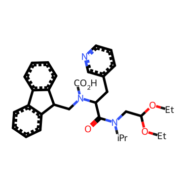 CCOC(CN(C(=O)C(Cc1cccnc1)N(CC1c2ccccc2-c2ccccc21)C(=O)O)C(C)C)OCC